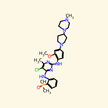 COc1cc(N2CCC(N3CCN(C)CC3)CC2)ccc1Nc1nc(C)c(Cl)c(Nc2ccccc2P(C)(C)=O)n1